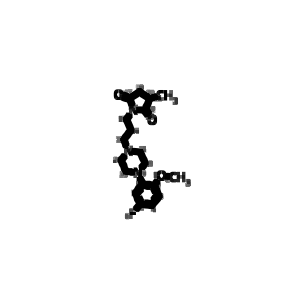 COc1ccc(F)cc1N1CCN(CCCN2C(=O)CC(C)C2=O)CC1